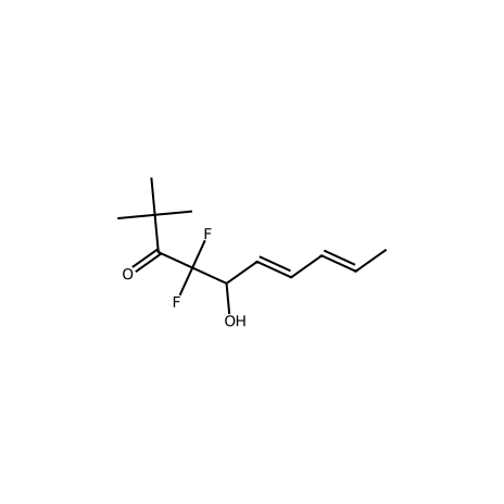 C/C=C/C=C/C(O)C(F)(F)C(=O)C(C)(C)C